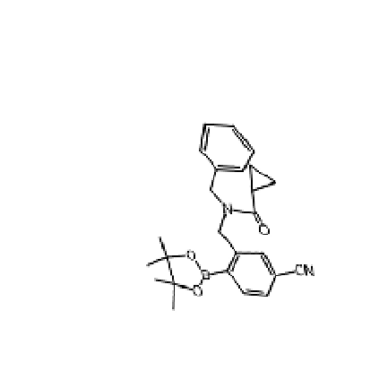 CC1(C)OB(c2ccc(C#N)cc2CN(Cc2ccccc2)C(=O)C2CC2)OC1(C)C